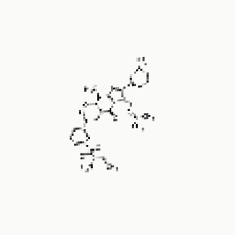 C=CC(N)S(=O)(=O)c1cccc(C(=O)Cn2c(=O)c3c(nc(N4CCCC(N)C4)n3CC=C(C)C)n(C)c2=O)c1